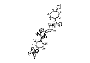 O=C(C1=CCC=C(Cl)C=C1)N1CC(c2nc(-c3ccc(OC(F)(F)F)cc3)no2)C1